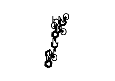 O=C1CCC(N2C(=O)c3ccc(N4CCC(CN5CCCN(c6ccccc6)C5=O)CC4)cc3C2=O)C(=O)N1